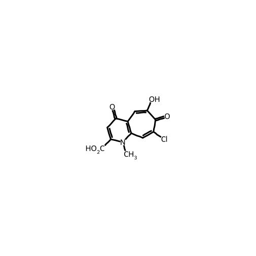 Cn1c(C(=O)O)cc(=O)c2cc(O)c(=O)c(Cl)cc21